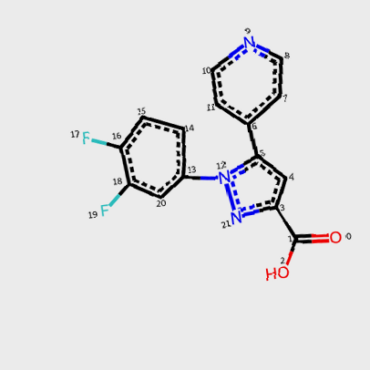 O=C(O)c1cc(-c2ccncc2)n(-c2ccc(F)c(F)c2)n1